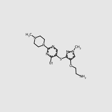 CCc1nc(N2CCN(C)CC2)ncc1Sc1nn(C)cc1OCCN